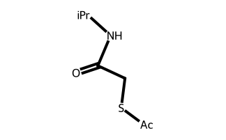 CC(=O)SCC(=O)NC(C)C